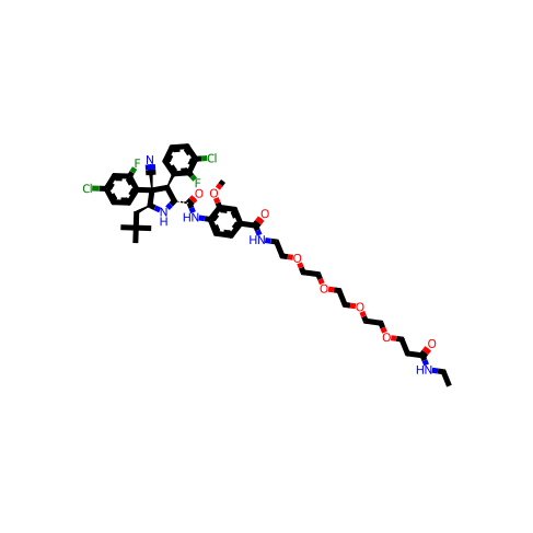 CCNC(=O)CCOCCOCCOCCOCCNC(=O)c1ccc(NC(=O)[C@@H]2N[C@@H](CC(C)(C)C)[C@](C#N)(c3ccc(Cl)cc3F)[C@H]2c2cccc(Cl)c2F)c(OC)c1